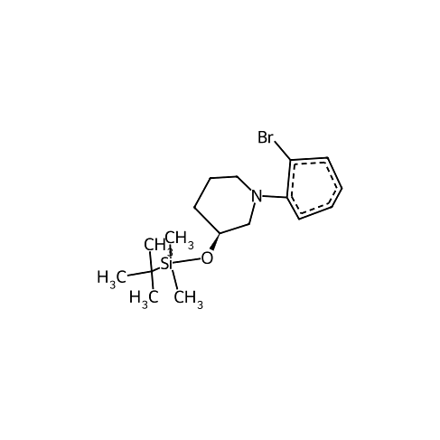 CC(C)(C)[Si](C)(C)O[C@H]1CCCN(c2ccccc2Br)C1